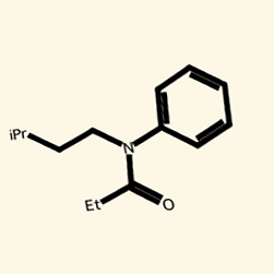 CCC(=O)N(CCC(C)C)c1ccccc1